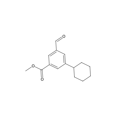 COC(=O)c1cc(C=O)cc(C2CCCCC2)c1